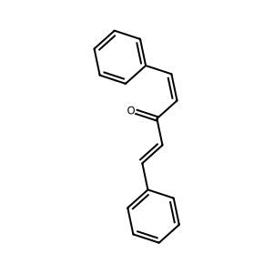 O=C(C=Cc1ccccc1)/C=C\c1ccccc1